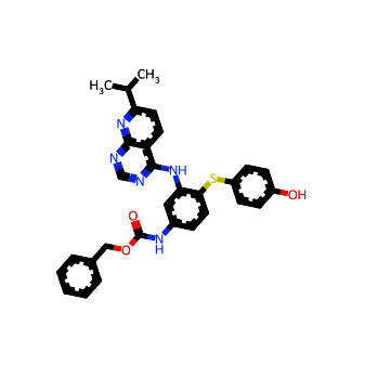 CC(C)c1ccc2c(Nc3cc(NC(=O)OCc4ccccc4)ccc3Sc3ccc(O)cc3)ncnc2n1